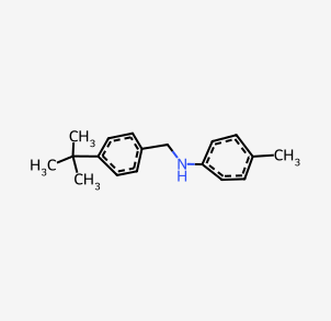 Cc1ccc(NCc2ccc(C(C)(C)C)cc2)cc1